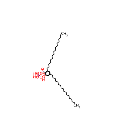 CCCCCCCCCCCCCCCCCCc1cc(O)c(I=O)c(CCCCCCCCCCCCCCCCCC)c1.O=P(O)(O)O